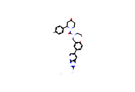 O=C1CCN(C(=O)N2CCOc3ccc(-c4cnc5nc(NC(=O)O)[nH]c5c4)cc3C2)C(c2ccc(F)cc2)C1